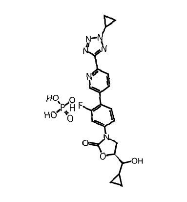 O=C1O[C@H](C(O)C2CC2)CN1c1ccc(-c2ccc(-c3nnn(C4CC4)n3)nc2)c(F)c1.O=P(O)(O)O